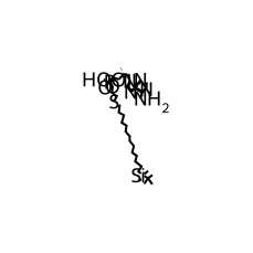 C[C@H](Cn1cnc2c(N)ncnc21)OCP(=O)(O)OCCSCCCCCCCCCCCCCC[Si](C)(C)C(C)(C)C